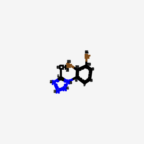 [CH2]c1nnnn1-c1cccc(Br)c1Br